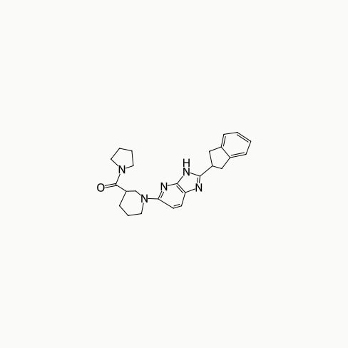 O=C(C1CCCN(c2ccc3nc(C4Cc5ccccc5C4)[nH]c3n2)C1)N1CCCC1